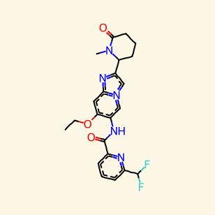 CCOc1cc2nc(C3CCCC(=O)N3C)cn2cc1NC(=O)c1cccc(C(F)F)n1